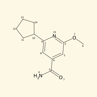 COc1cc(C(N)=O)cc(C2CCCC2)n1